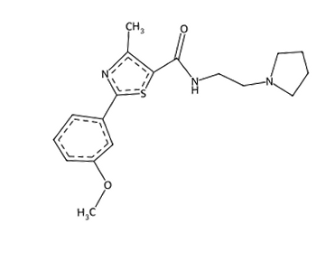 COc1cccc(-c2nc(C)c(C(=O)NCCN3CCCC3)s2)c1